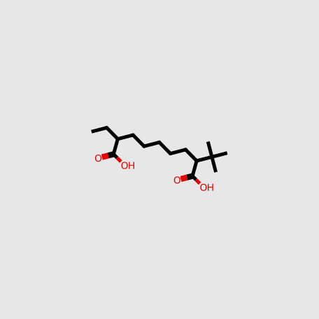 CCC(CCCCCC(C(=O)O)C(C)(C)C)C(=O)O